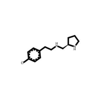 Clc1ccc(CCNC[C@H]2CCCN2)cc1